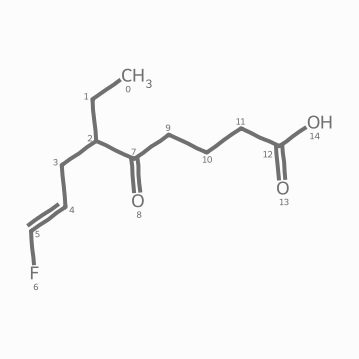 CCC(C/C=C/F)C(=O)CCCC(=O)O